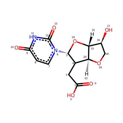 O=C(O)CC1[C@H](n2ccc(=O)[nH]c2=O)O[C@@H]2[C@@H](O)CO[C@@H]12